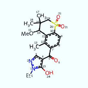 CCn1ncc(C(=O)c2ccc3c(c2C)C(OC)C(C)(C)CS3(=O)=O)c1O